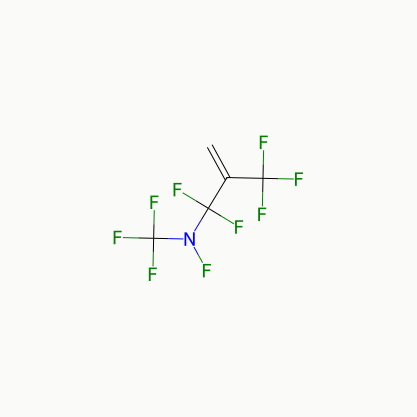 C=C(C(F)(F)F)C(F)(F)N(F)C(F)(F)F